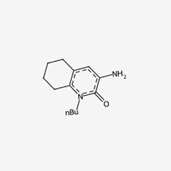 CCCCn1c2c(cc(N)c1=O)CCCC2